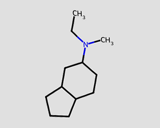 CCN(C)C1CCC2CCCC2C1